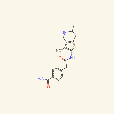 CC1Cc2sc(NC(=O)Cc3ccc(C(N)=O)cc3)c(C#N)c2CN1